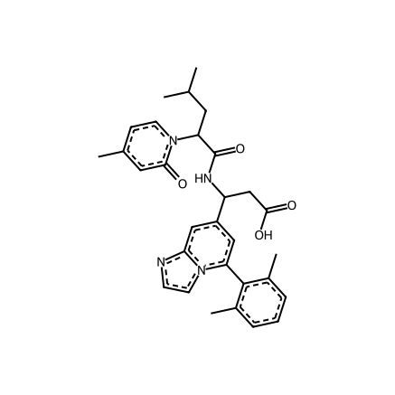 Cc1ccn(C(CC(C)C)C(=O)NC(CC(=O)O)c2cc(-c3c(C)cccc3C)n3ccnc3c2)c(=O)c1